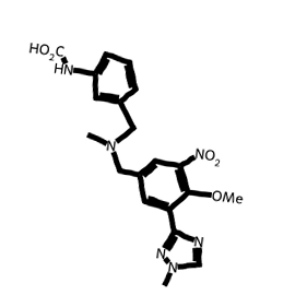 COc1c(-c2ncn(C)n2)cc(CN(C)Cc2cccc(NC(=O)O)c2)cc1[N+](=O)[O-]